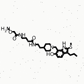 CCCc1c(SC)[nH]c2c(CN3CCC(CCNC(=O)CCCNC(=O)CON)CC3)c(O)ccc12